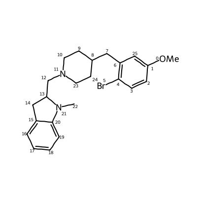 COc1ccc(Br)c(CC2CCN(CC3Cc4ccccc4N3C)CC2)c1